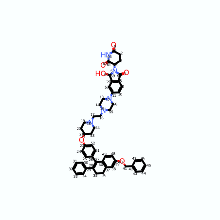 O=C1CCC(N2C(=O)c3ccc(N4CCN(CCN5CCC(Oc6ccc(C7=C(c8ccccc8)CCc8cc(OCc9ccccc9)ccc87)cc6)CC5)CC4)cc3C2O)C(=O)N1